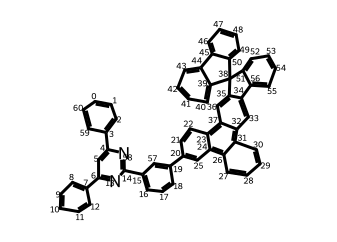 c1ccc(-c2cc(-c3ccccc3)nc(-c3cccc(-c4ccc5c(c4)c4ccccc4c4cc6c(cc54)C4(c5ccccc5-c5ccccc54)c4ccccc4-6)c3)n2)cc1